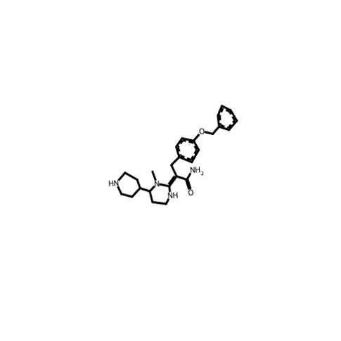 CN1/C(=C(\Cc2ccc(OCc3ccccc3)cc2)C(N)=O)NCCC1C1CCNCC1